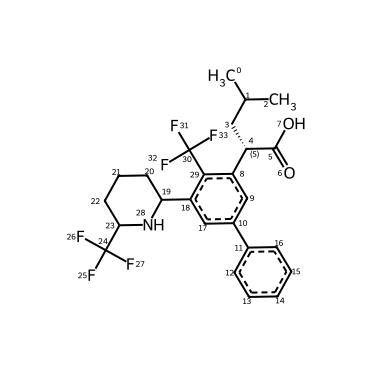 CC(C)C[C@H](C(=O)O)c1cc(-c2ccccc2)cc(C2CCCC(C(F)(F)F)N2)c1C(F)(F)F